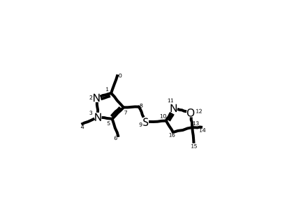 Cc1nn(C)c(C)c1CSC1=NOC(C)(C)C1